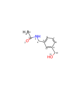 BC(=O)NCc1cccc(CO)c1